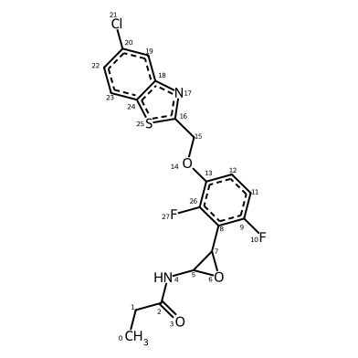 CCC(=O)NC1OC1c1c(F)ccc(OCc2nc3cc(Cl)ccc3s2)c1F